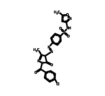 CC1=NN(C(=O)c2ccc(Cl)cc2)C(=O)C1/N=N/c1ccc(S(=O)(=O)Nc2cc(C)on2)cc1